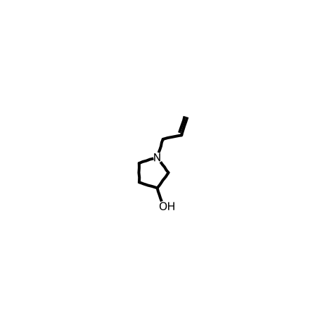 C=CCN1CCC(O)C1